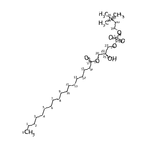 CCCCCCCCCCCCCCCCCC(=O)OC[C@H](O)COP(=O)([O-])OCC[N+](C)(C)C